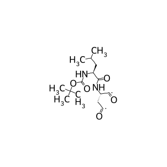 CC(C)C[C@H](NC(=O)OC(C)(C)C)C(=O)N[C@H]([C]=O)C[C]=O